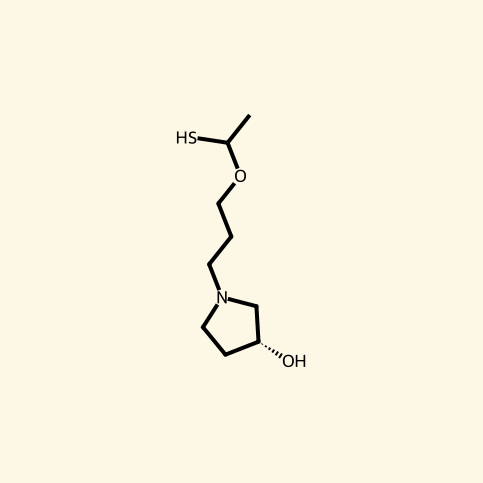 CC(S)OCCCN1CC[C@@H](O)C1